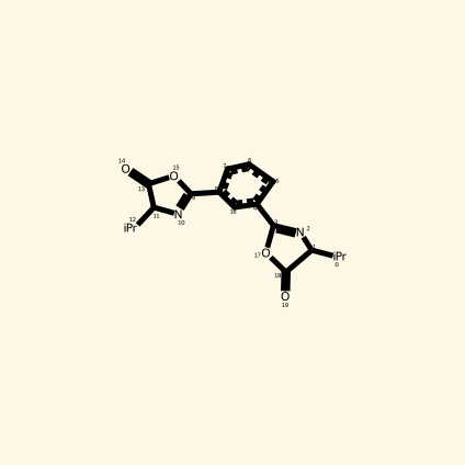 CC(C)C1N=C(c2cccc(C3=NC(C(C)C)C(=O)O3)c2)OC1=O